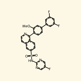 COc1cc(-c2cc(F)cc(F)c2)ccc1-c1nccc2cc(S(=O)(=O)Nc3ncc(F)cn3)ccc12